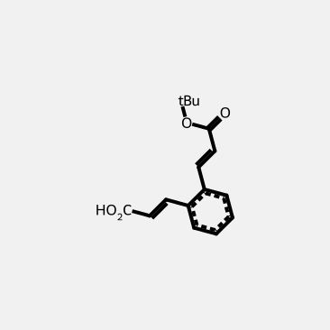 CC(C)(C)OC(=O)C=Cc1ccccc1C=CC(=O)O